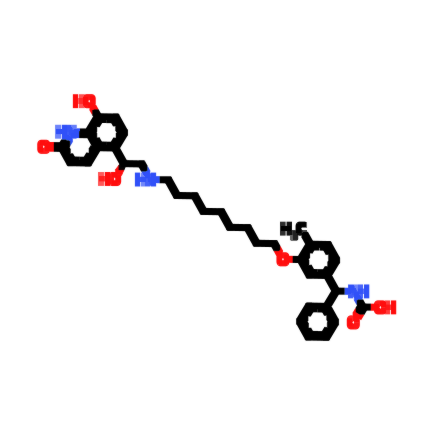 Cc1ccc(C(NC(=O)O)c2ccccc2)cc1OCCCCCCCCCNC[C@@H](O)c1ccc(O)c2[nH]c(=O)ccc12